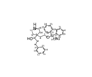 CC(C)(C)[Si](OCCC1(C(O)CCc2ccccc2)CCNCC1)(c1ccccc1)c1ccccc1